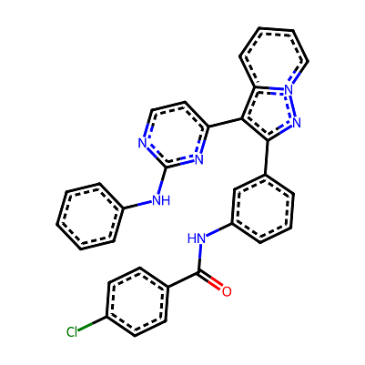 O=C(Nc1cccc(-c2nn3ccccc3c2-c2ccnc(Nc3ccccc3)n2)c1)c1ccc(Cl)cc1